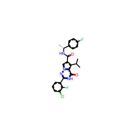 CC(C)c1c(C(=O)N[C@H](C)c2ccc(F)cc2)cn2nc(-c3cccc(Cl)c3F)[nH]c(=O)c12